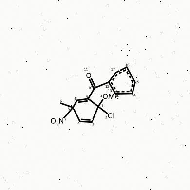 COC1(Cl)C=CC(C)([N+](=O)[O-])C=C1C(=O)c1ccccc1